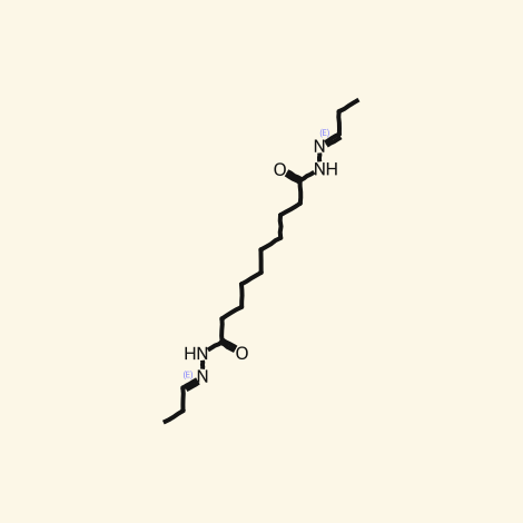 CC/C=N/NC(=O)CCCCCCCCC(=O)N/N=C/CC